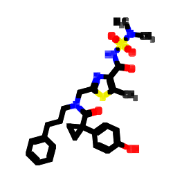 Cc1sc(CN(CCCc2ccccc2)C(=O)C2(c3ccc(O)cc3)CC2)nc1C(=O)NS(=O)(=O)N(C)C